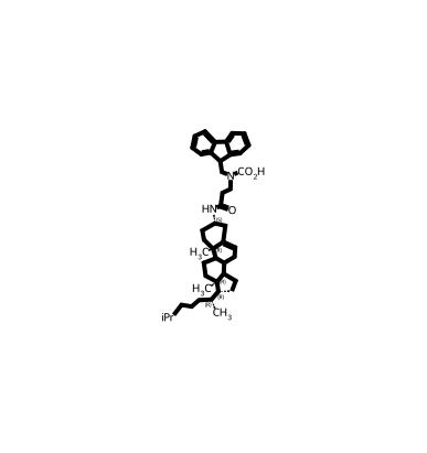 CC(C)CCC[C@@H](C)[C@H]1CCC2C3CC=C4C[C@@H](NC(=O)CCN(CC5c6ccccc6-c6ccccc65)C(=O)O)CC[C@]4(C)C3CC[C@@]21C